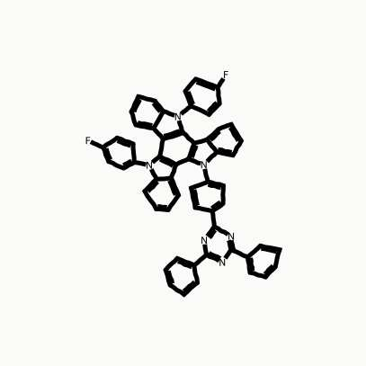 Fc1ccc(-n2c3ccccc3c3c2c2c4ccccc4n(-c4ccc(-c5nc(-c6ccccc6)nc(-c6ccccc6)n5)cc4)c2c2c4ccccc4n(-c4ccc(F)cc4)c32)cc1